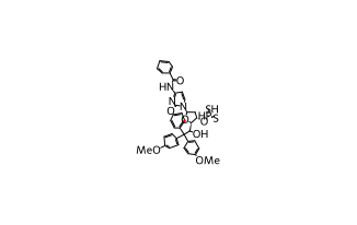 COc1ccc(C(c2ccccc2)(c2ccc(OC)cc2)C(O)[C@H]2O[C@@H](n3ccc(NC(=O)c4ccccc4)nc3=O)C[C@@H]2O[PH](=S)S)cc1